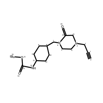 C#CCN1CCN(CC2CCC(NC(=O)OC(C)(C)C)CC2)C(=O)C1